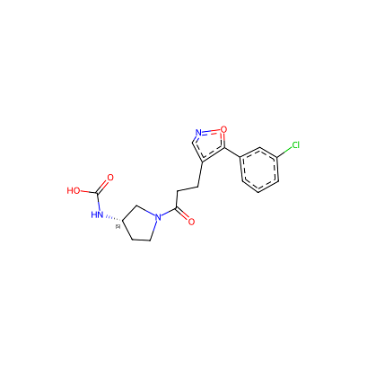 O=C(O)N[C@H]1CCN(C(=O)CCc2cnoc2-c2cccc(Cl)c2)C1